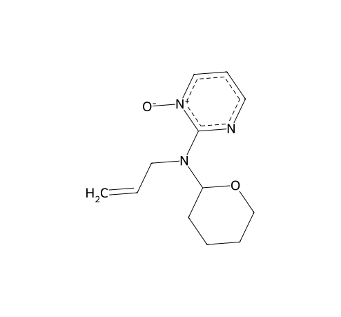 C=CCN(c1nccc[n+]1[O-])C1CCCCO1